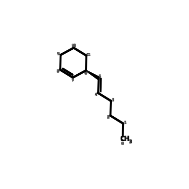 CCCC/C=C/[C@H]1C=CCCC1